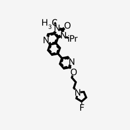 CC(C)n1c(=O)n(C)c2cnc3ccc(-c4ccc(OCCCN5CC[C@H](F)C5)nc4)cc3c21